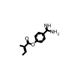 CC=C(C)C(=O)Oc1ccc(C(=N)N)cc1